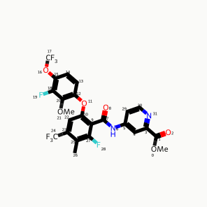 COC(=O)c1cc(NC(=O)c2c(Oc3ccc(OC(F)(F)F)c(F)c3OC)cc(C(F)(F)F)c(C)c2F)ccn1